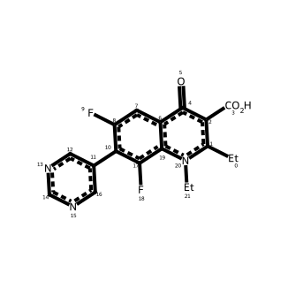 CCc1c(C(=O)O)c(=O)c2cc(F)c(-c3cncnc3)c(F)c2n1CC